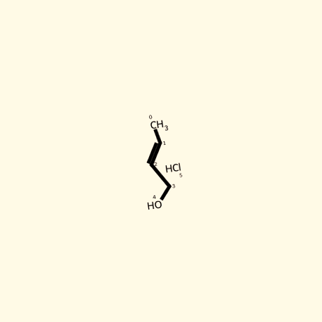 CC=CCO.Cl